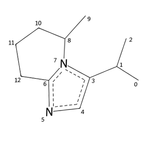 CC(C)c1cnc2n1C(C)CCC2